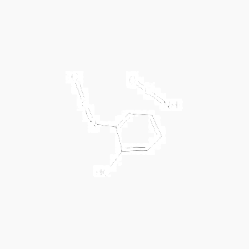 N=C=O.O=C=Nc1ccccc1O